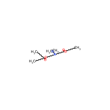 CCCCCCCCCOC(=O)CCCCCCCN(CCCCCCCOC(=O)C(CCCCCCCC)CCCCCCCC)CCN(C)C